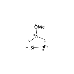 CCC[SiH3].CON(C)C